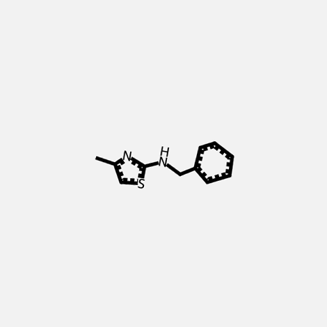 Cc1csc(NCc2ccccc2)n1